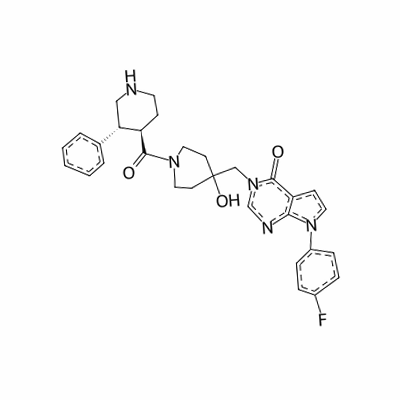 O=C([C@@H]1CCNC[C@H]1c1ccccc1)N1CCC(O)(Cn2cnc3c(ccn3-c3ccc(F)cc3)c2=O)CC1